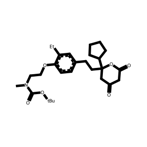 CCc1cc(CCC2(C3CCCC3)CC(=O)CC(=O)O2)ccc1OCCN(C)C(=O)OC(C)(C)C